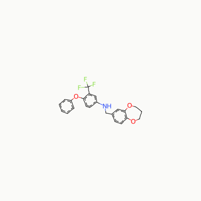 FC(F)(F)c1cc(NCc2ccc3c(c2)OCCCO3)ccc1Oc1ccccc1